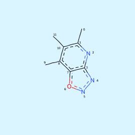 Cc1nc2nnoc2c(C)c1C